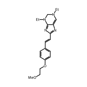 CCN1C=C2N=C(/C=C/c3ccc(OCCOC)cc3)N=C2N(CC)C1